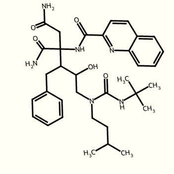 CC(C)CCN(CC(O)C(Cc1ccccc1)C(CC(N)=O)(NC(=O)c1ccc2ccccc2n1)C(N)=O)C(=O)NC(C)(C)C